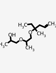 C=CCC(C)(CC)OCC(C)OCC(C)O